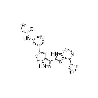 CC(C)CC(=O)Nc1cncc(-c2ccc3[nH]nc(-c4nc5c(-c6ccoc6)nccc5[nH]4)c3c2)c1